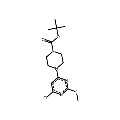 CSc1nc(Cl)cc(N2CCN(C(=O)OC(C)(C)C)CC2)n1